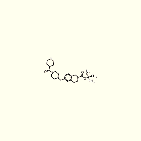 CC(C)(C)OC(=O)N1CCc2cc(CN3CCN(C(=O)C4CCOCC4)CC3)ccc2C1